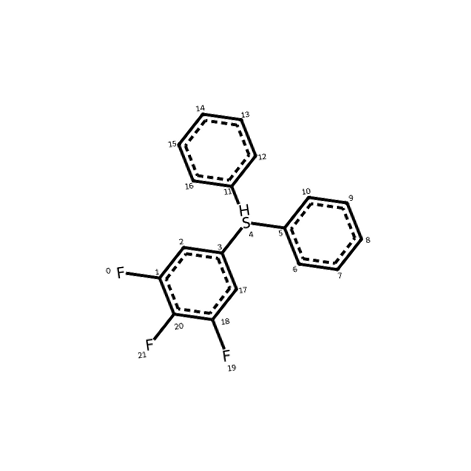 Fc1cc([SH](c2ccccc2)c2ccccc2)cc(F)c1F